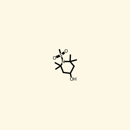 CC1(C)CC(O)CC(C)(C)N1S(C)(=O)=O